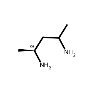 CC(N)C[C@H](C)N